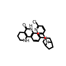 O=c1[nH]c2cc(CN3C4CCC3CN(c3ccc(Cl)nn3)C4)ccc2c2c1CCCN2